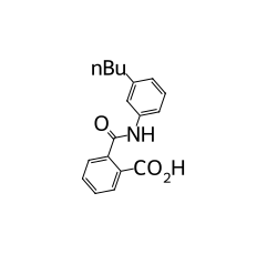 [CH2]CCCc1cccc(NC(=O)c2ccccc2C(=O)O)c1